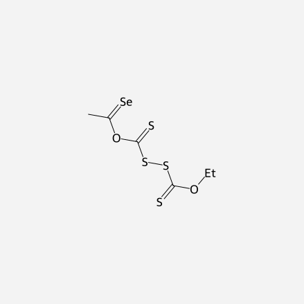 CCOC(=S)SSC(=S)OC(C)=[Se]